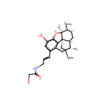 CNC1CC[C@]23c4c5c(/C=C/CNC(=O)CBr)cc(O)c4O[C@H]2[C@@H](NC(C)=O)CCC3[C@H]1C5